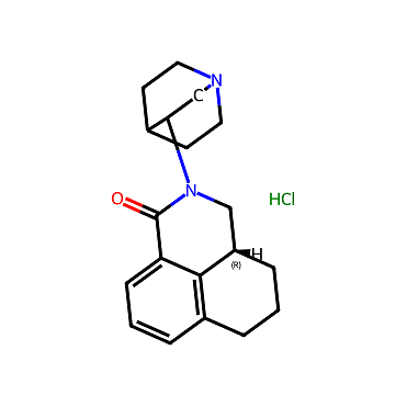 Cl.O=C1c2cccc3c2[C@@H](CCC3)CN1C1CN2CCC1CC2